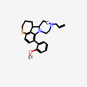 C=CCN1CCC2C3CCCSc4ccc(-c5ccccc5OCC)c(c43)N2CC1